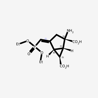 CCOP(=O)(/C=C1/C[C@@](N)(C(=O)O)[C@@H]2[C@@H](C(=O)O)[C@H]12)OCC